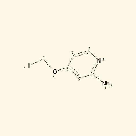 Nc1cc(OCI)ccn1